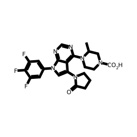 CC1CN(C(=O)O)CCN1c1ncnc2c1c(N1CCCC1=O)cn2-c1cc(F)c(F)c(F)c1